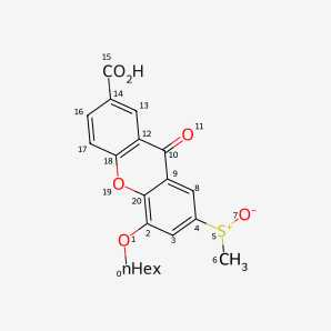 CCCCCCOc1cc([S+](C)[O-])cc2c(=O)c3cc(C(=O)O)ccc3oc12